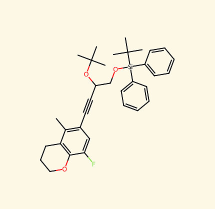 Cc1c(C#CC(CO[Si](c2ccccc2)(c2ccccc2)C(C)(C)C)OC(C)(C)C)cc(F)c2c1CCCO2